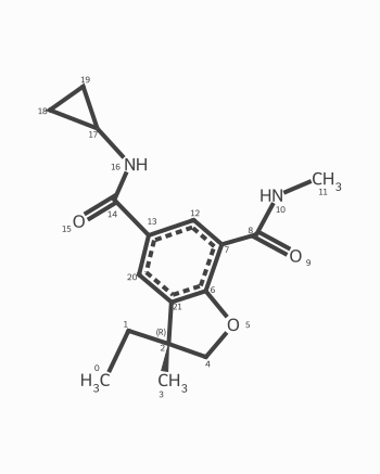 CC[C@@]1(C)COc2c(C(=O)NC)cc(C(=O)NC3CC3)cc21